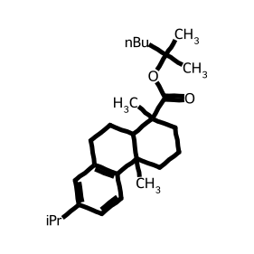 CCCCC(C)(C)OC(=O)C1(C)CCCC2(C)c3ccc(C(C)C)cc3CCC12